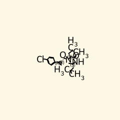 CC(C)C[C@H]1CN(C(=O)[C@@H]2C[C@H]2c2ccc(Cl)cc2)[C@@H](CC(C)C)C(=O)N1